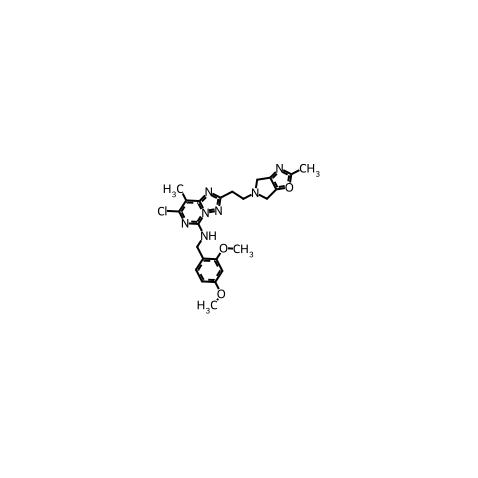 COc1ccc(CNc2nc(Cl)c(C)c3nc(CCN4Cc5nc(C)oc5C4)nn23)c(OC)c1